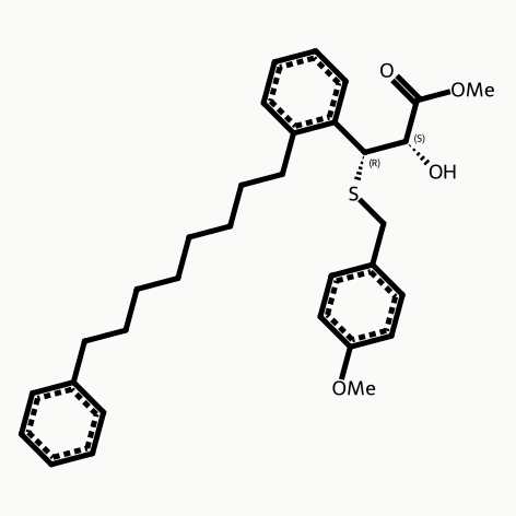 COC(=O)[C@H](O)[C@H](SCc1ccc(OC)cc1)c1ccccc1CCCCCCCCc1ccccc1